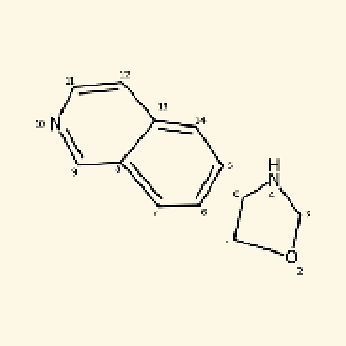 C1COCN1.c1ccc2cnccc2c1